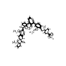 COc1cc(-c2nccc(-c3cccc(NC(=O)c4nc5c(n4C)CCN(C(=O)[C@H]4CCCN4C)C5)c3Cl)c2Cl)ccc1CNC1CCN(C(C)=O)CC1